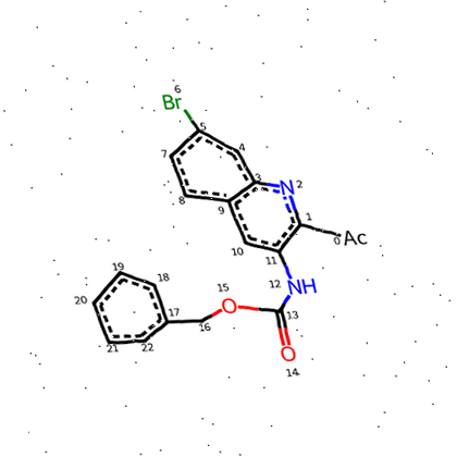 CC(=O)c1nc2cc(Br)ccc2cc1NC(=O)OCc1ccccc1